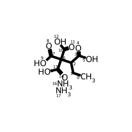 CCC(C(=O)O)C(C(=O)O)(C(=O)O)C(=O)O.N.N